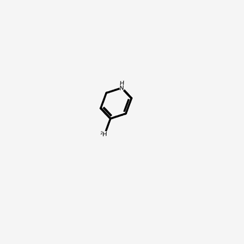 [2H]C1=CCNC=C1